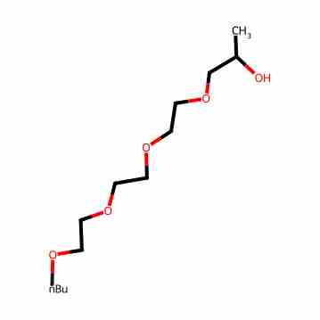 CCCCOCCOCCOCCOCC(C)O